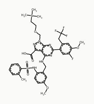 COc1ccc(NS(=O)(=O)c2ccccc2C)c(CNc2nc(-c3cc(F)c(OC)cc3CC(F)(F)F)nc3c2c(C(=O)O)nn3COCC[Si](C)(C)C)c1